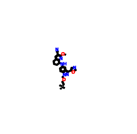 COc1nc2c(cc1C#N)CCCC2Nc1ccc2c(c1)c(-c1cnco1)nn2COCC[Si](C)(C)C